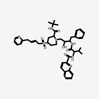 CC(C)C(NC(=O)c1ccc2ccccc2n1)C(=O)NC(Cc1ccccc1)C(O)CN1CC[C@@H](S(=O)(=O)CC=CCc2ccccn2)CC1C(=O)NC(C)(C)C